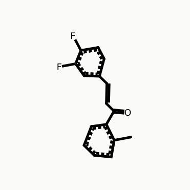 Cc1ccccc1C(=O)/C=C/c1ccc(F)c(F)c1